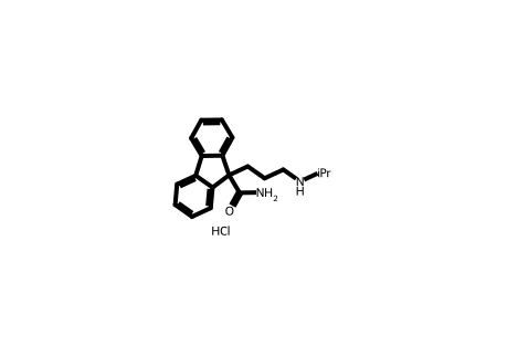 CC(C)NCCCC1(C(N)=O)c2ccccc2-c2ccccc21.Cl